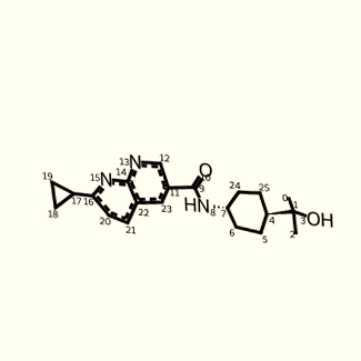 CC(C)(O)[C@H]1CC[C@H](NC(=O)c2cnc3nc(C4CC4)ccc3c2)CC1